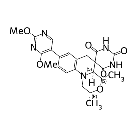 COc1ncc(-c2ccc3c(c2)CC2(C(=O)NC(=O)NC2=O)[C@H]2[C@H](C)O[C@H](C)CN32)c(OC)n1